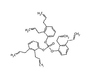 C=CCc1cccc(OP(=O)(Oc2cccc(CC=C)c2CC=C)Oc2cccc(CC=C)c2CC=C)c1CC=C